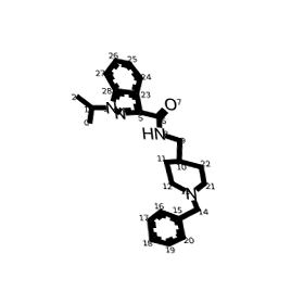 CC(C)n1nc(C(=O)NCC2CCN(Cc3ccccc3)CC2)c2ccccc21